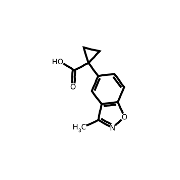 Cc1noc2ccc(C3(C(=O)O)CC3)cc12